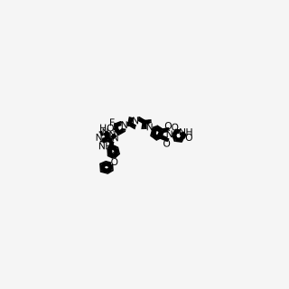 Nc1ncnc2c1c(-c1ccc(Oc3ccccc3)cc1)nn2[C@]1(O)CCN(C2CN(CC3CN(c4ccc5c(c4)C(=O)N(C4CCC(=O)NC4=O)C5=O)C3)C2)C[C@@H]1F